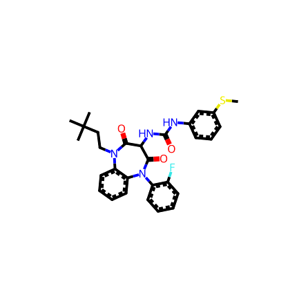 CSc1cccc(NC(=O)NC2C(=O)N(CCC(C)(C)C)c3ccccc3N(c3ccccc3F)C2=O)c1